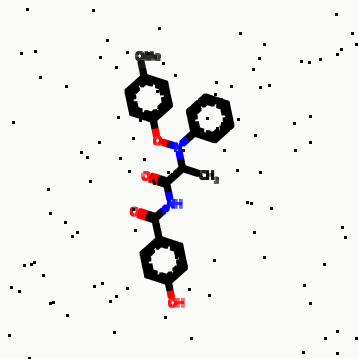 COc1ccc(ON(c2ccccc2)C(C)C(=O)NC(=O)c2ccc(O)cc2)cc1